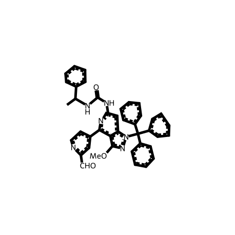 COc1nn(C(c2ccccc2)(c2ccccc2)c2ccccc2)c2cc(NC(=O)NC(C)c3ccccc3)nc(-c3ccnc(C=O)c3)c12